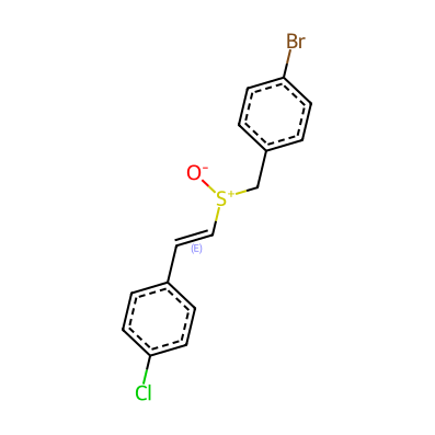 [O-][S+](/C=C/c1ccc(Cl)cc1)Cc1ccc(Br)cc1